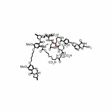 C=C1C[C@H]2C=Nc3cc(OCCCCCOc4cc(NC(=O)OCCSSC[C@H](NC(=O)[C@H](CC(=O)O)NC(=O)[C@H](CC(=O)O)NC(=O)[C@H](CCCNC(=N)N)NC(=O)[C@H](CC(=O)O)NC(=O)CC[C@H](NC(=O)c5ccc(NCc6cnc7nc(N)[nH]c(=O)c7n6)cc5)C(=O)O)C(=O)O)c(C(=O)N5CC(=C)C[C@H]5/C=N/OC)cc4OC)c(OC)cc3C(=O)N2C1